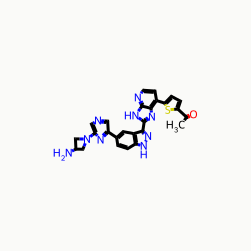 CC(=O)c1ccc(-c2ccnc3[nH]c(-c4n[nH]c5ccc(-c6cncc(N7CC(N)C7)n6)cc45)nc23)s1